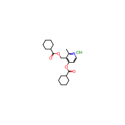 Cc1nccc(OC(=O)C2CCCCC2)c1COC(=O)C1CCCCC1.Cl